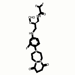 O=CO[C@@H](CNC(=O)C(F)F)CNc1ccc(N2CCN3C(=O)CCC(=O)N3CC2)c(F)c1